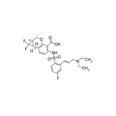 CCN(CC)CC=Cc1cc(F)ccc1S(=O)(=O)Nc1ccc2c(c1C(=O)O)OC[C@H]1[C@@H]2C1(F)F